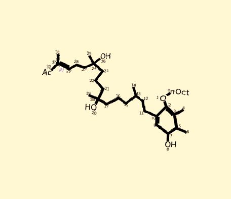 CCCCCCCCOC1=C(C)C(C)C(O)C=C1CCC(C)CCCC(C)(O)CCCC(C)(O)CC/C=C(\C)C(C)=O